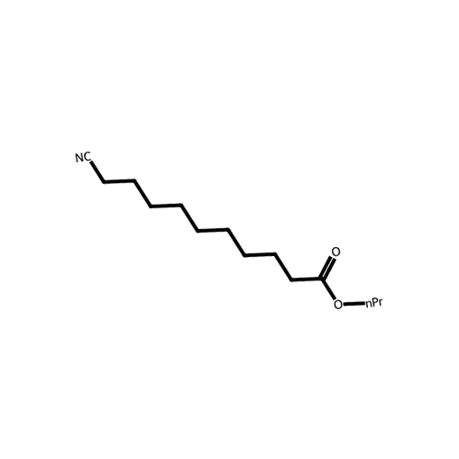 CCCOC(=O)CCCCCCCCCC#N